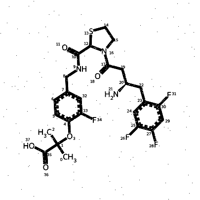 CC(C)(Oc1ccc(CNC(=O)C2SCCN2C(=O)C[C@H](N)Cc2cc(F)c(F)cc2F)cc1F)C(=O)O